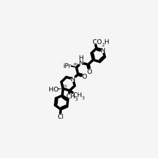 CC(C)[C@@H](NC(=O)c1ccnc(C(=O)O)c1)C(=O)N1CC[C@](O)(c2ccc(Cl)cc2)C(C)(C)C1